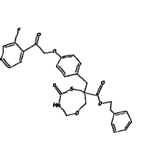 O=C1NCOCC(Cc2ccc(OCC(=O)c3ccccc3F)cc2)(C(=O)OCc2ccccc2)S1